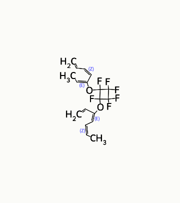 C=C/C=C\C(=C/C)OC1(F)C(F)(F)C(F)(F)C1(F)O/C(C=C)=C/C=C\C